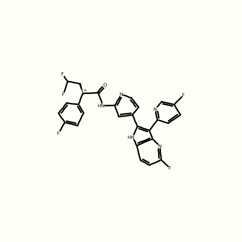 O=C(Nc1cc(-c2[nH]c3ccc(F)nc3c2-c2ccc(F)cn2)ccn1)[C@H](CC(F)F)c1ccc(F)cc1